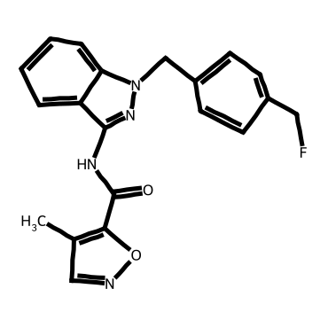 Cc1cnoc1C(=O)Nc1nn(Cc2ccc(CF)cc2)c2ccccc12